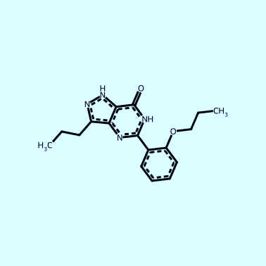 CCCOc1ccccc1-c1nc2c(CCC)n[nH]c2c(=O)[nH]1